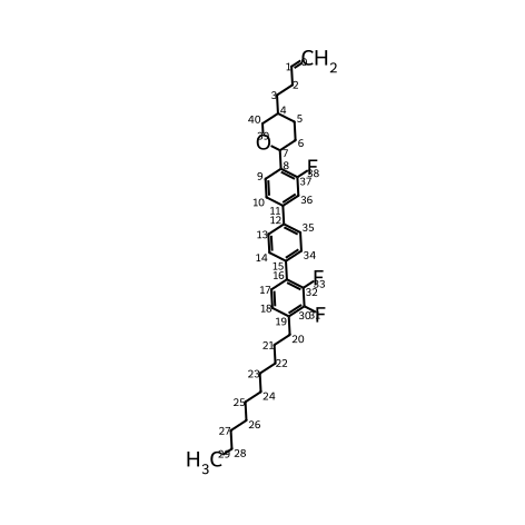 C=CCCC1CCC(c2ccc(-c3ccc(-c4ccc(CCCCCCCCCC)c(F)c4F)cc3)cc2F)OC1